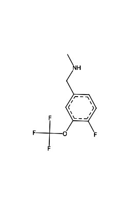 CNCc1ccc(F)c(OC(F)(F)F)c1